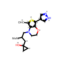 CNC(CN1CCOc2c(-c3cn[nH]c3)sc(C=O)c21)CC1(O)CC1